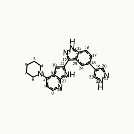 c1cc(N2CCCCC2)c2cc(-c3n[nH]c4ccc(-c5cn[nH]c5)cc34)[nH]c2n1